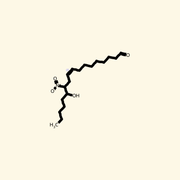 CCCCCC(O)C(C/C=C\CCCCCCC[C]=O)[N+](=O)[O-]